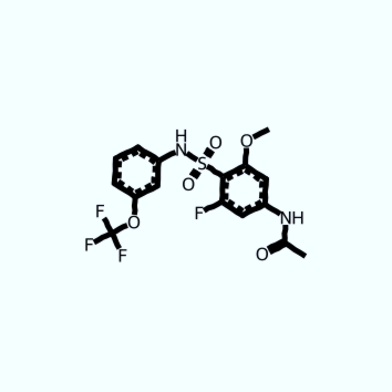 COc1cc(NC(C)=O)cc(F)c1S(=O)(=O)Nc1cccc(OC(F)(F)F)c1